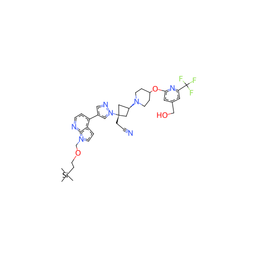 C[Si](C)(C)CCOCn1ccc2c(-c3cnn([C@]4(CC#N)C[C@@H](N5CCC(Oc6cc(CO)cc(C(F)(F)F)n6)CC5)C4)c3)ccnc21